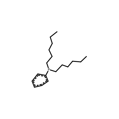 CCCCCCP(CCCCCC)c1ccccc1